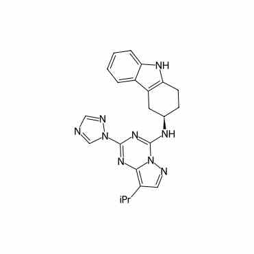 CC(C)c1cnn2c(N[C@@H]3CCc4[nH]c5ccccc5c4C3)nc(-n3cncn3)nc12